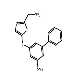 CSc1cc(Sc2cnc(CN)s2)cc(-c2ccccc2)c1